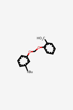 CCCCc1cccc(OCOc2ccccc2C(=O)O)c1